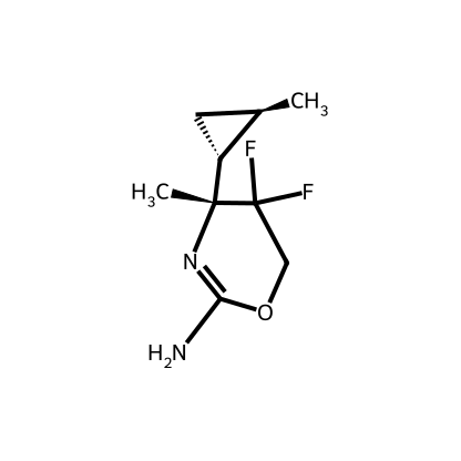 C[C@@H]1C[C@H]1[C@@]1(C)N=C(N)OCC1(F)F